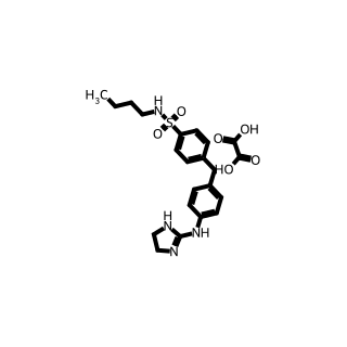 CCCCNS(=O)(=O)c1ccc(Cc2ccc(NC3=NCCN3)cc2)cc1.O=C(O)C(=O)O